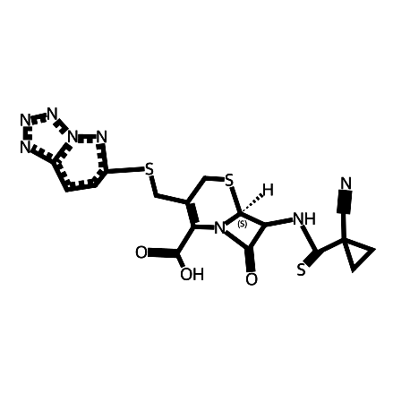 N#CC1(C(=S)NC2C(=O)N3C(C(=O)O)=C(CSc4ccc5nnnn5n4)CS[C@@H]23)CC1